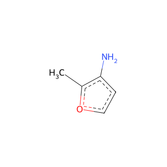 Cc1occc1N